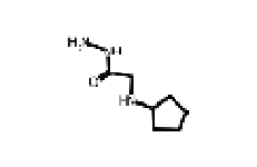 NNC(=O)CNC1CCCC1